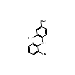 COc1ccc(Nc2ncccc2C#N)c(C)c1